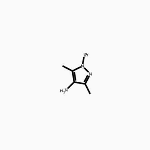 Cc1nn(C(C)C)c(C)c1N